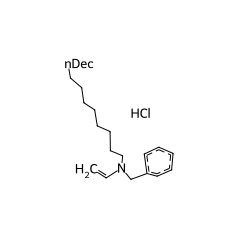 C=CN(CCCCCCCCCCCCCCCCCC)Cc1ccccc1.Cl